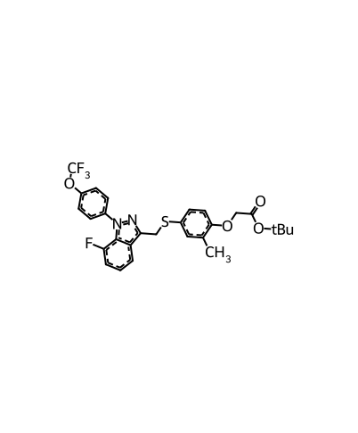 Cc1cc(SCc2nn(-c3ccc(OC(F)(F)F)cc3)c3c(F)cccc23)ccc1OCC(=O)OC(C)(C)C